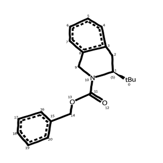 CC(C)(C)[C@@H]1Cc2ccccc2CN1C(=O)OCc1ccccc1